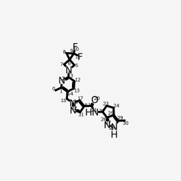 Cc1nc(N2CC3(C2)CC3(F)F)ccc1Cn1cc(C(=O)NC2CCc3c2n[nH]c3C)cn1